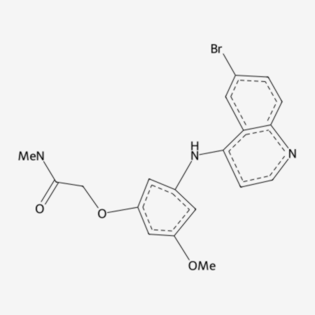 CNC(=O)COc1cc(Nc2ccnc3ccc(Br)cc23)cc(OC)c1